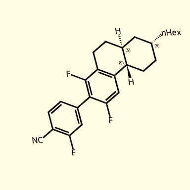 CCCCCC[C@@H]1CC[C@@H]2c3cc(F)c(-c4ccc(C#N)c(F)c4)c(F)c3CC[C@H]2C1